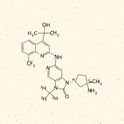 [2H]C([2H])([2H])n1c(=O)n([C@@H]2CC[C@](C)(N)C2)c2cc(Nc3cc(C(C)(C)O)c4cccc(C(F)(F)F)c4n3)ncc21